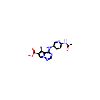 COC(=O)c1cn2ncnc(Nc3ccc(NC(C)=O)nc3)c2c1C